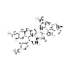 C=C([C@@H]1C[C@@H](C)CN1C(=C)C1=C(C(C)C)N([C@H](c2ccc(C)c(F)c2)C(C)c2ccc(C)nc2)C(=C)S1)N1CC2(CC2)NCC1C(C)C